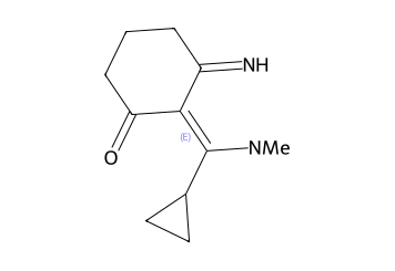 CN/C(=C1\C(=N)CCCC1=O)C1CC1